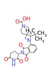 CC(C)(C)C1N(c2cccc3c2C(=O)N(C2CCC(=O)NC2=O)C3=O)CC12CCN(C(=O)O)CC2